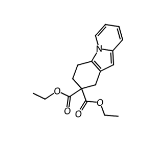 CCOC(=O)C1(C(=O)OCC)CCc2c(cc3ccccn23)C1